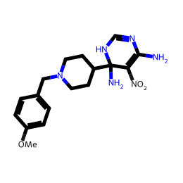 COc1ccc(CN2CCC(C3(N)NC=NC(N)=C3[N+](=O)[O-])CC2)cc1